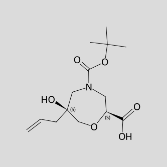 C=CC[C@@]1(O)CO[C@H](C(=O)O)CN(C(=O)OC(C)(C)C)C1